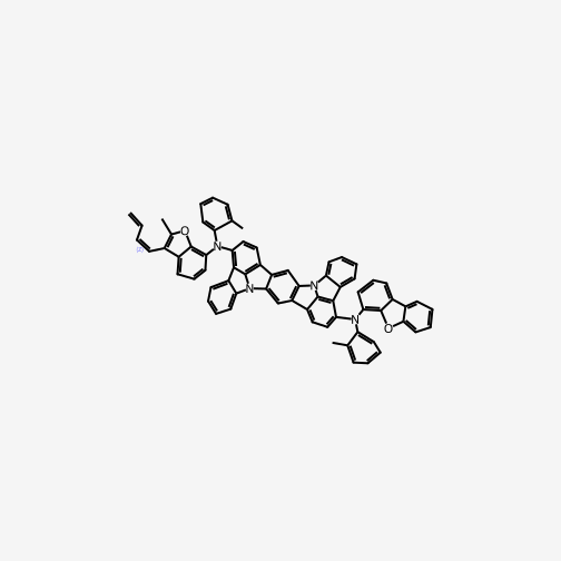 C=C/C=C\c1c(C)oc2c(N(c3ccccc3C)c3ccc4c5cc6c(cc5n5c7ccccc7c3c45)c3ccc(N(c4ccccc4C)c4cccc5c4oc4ccccc45)c4c5ccccc5n6c34)cccc12